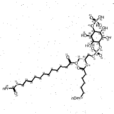 CCCCCCCCCCCCCCCC(=O)O[C@H](COC(=O)CCCCCCCCCCCSC(=O)CCC)COP(=O)(O)OC1C(O)[C@@H](O)C(OP(=O)(O)O)[C@@H](O)[C@H]1O